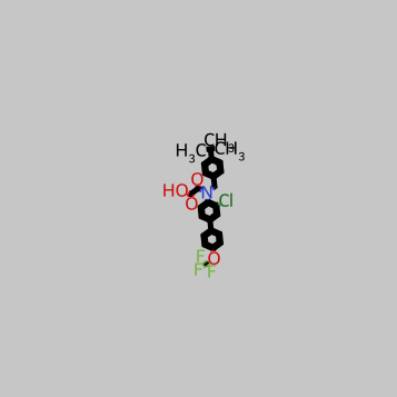 CC(C)(C)c1ccc(CN(C(=O)C(=O)O)c2ccc(-c3ccc(OC(F)(F)F)cc3)cc2Cl)cc1